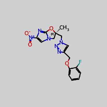 C[C@]1(Cn2cc(COc3ccccc3F)nn2)Cn2cc([N+](=O)[O-])nc2O1